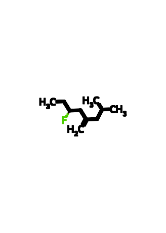 C=C(CC(C)C)C[C@H](F)CC